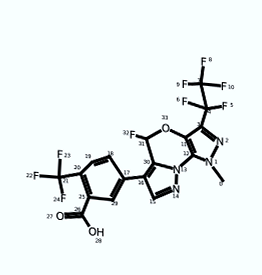 Cn1nc(C(F)(F)C(F)(F)F)c2c1-n1ncc(-c3ccc(C(F)(F)F)c(C(=O)O)c3)c1C(F)O2